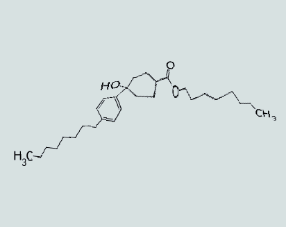 CCCCCCCCOC(=O)C1CCC(O)(c2ccc(CCCCCCCC)cc2)CC1